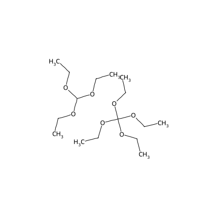 CCOC(OCC)(OCC)OCC.CCOC(OCC)OCC